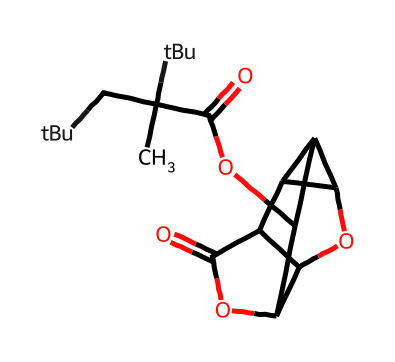 CC(C)(C)CC(C)(C(=O)OC1C2OC(=O)C3C2OC2C1C23)C(C)(C)C